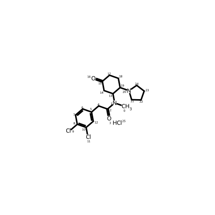 CN(C(=O)Cc1ccc(Cl)c(Cl)c1)C1CC(=O)CCC1N1CCCC1.Cl